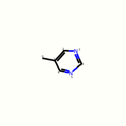 Cc1[c]n[c]nc1